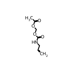 C=CCNC(=O)OCOC(C)=O